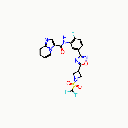 O=C(Nc1cc(-c2noc(C3CN(S(=O)(=O)C(F)F)C3)n2)ccc1F)c1cnc2ccccn12